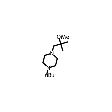 CCCCN1CCN(CC(C)(C)OC)CC1